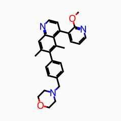 COc1ncccc1-c1ccnc2cc(C)c(-c3ccc(CN4CCOCC4)cc3)c(C)c12